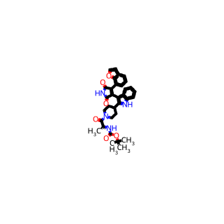 C[C@H](NC(=O)OC(C)(C)C)C(=O)N1CCC(c2[nH]c3ccccc3c2C2=C(c3cccc4ccoc34)C(=O)NC2=O)CC1